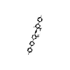 CC1=CC(c2ccc(C)cc2)CC(F)=C1C#Cc1ccc(-c2ccc(-c3ccc(C)cc3)cc2)cc1F